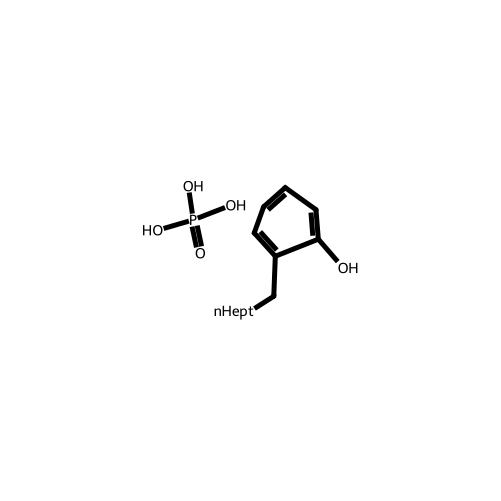 CCCCCCCCc1ccccc1O.O=P(O)(O)O